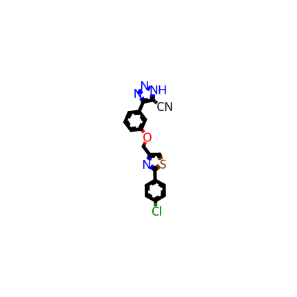 N#Cc1[nH]nnc1-c1cccc(OCc2csc(-c3ccc(Cl)cc3)n2)c1